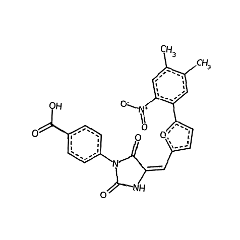 Cc1cc(-c2ccc(C=C3NC(=O)N(c4ccc(C(=O)O)cc4)C3=O)o2)c([N+](=O)[O-])cc1C